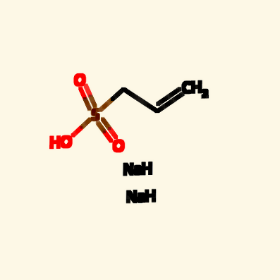 C=CCS(=O)(=O)O.[NaH].[NaH]